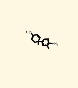 Cc1cc(C2(C)C=CC(N)=CC2)ccc1N